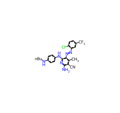 CCCCNc1ccc(Nc2nc(N)c(C#N)c(C)c2/N=N/c2cc(C(F)(F)F)ccc2Cl)cc1